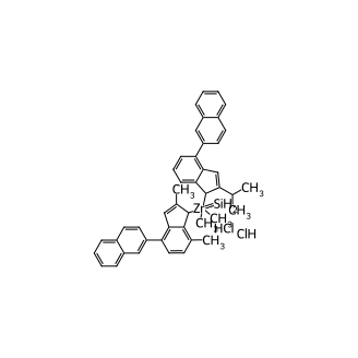 CC1=Cc2c(-c3ccc4ccccc4c3)ccc(C)c2[CH]1[Zr]([CH3])([CH3])(=[SiH2])[CH]1C(C(C)C)=Cc2c(-c3ccc4ccccc4c3)cccc21.Cl.Cl